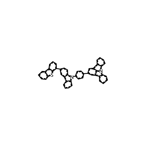 c1ccc2c(c1)sc1c(-c3ccc4c(c3)c3ccccc3n4-c3ccc(-c4cc5c6ccccc6n6c7ccccc7c(c4)c56)cc3)cccc12